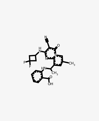 Cc1cc(C(C)Nc2ccccc2C(=O)O)c2nc(NC3CC(F)(F)C3)c(C#N)c(=O)n2c1